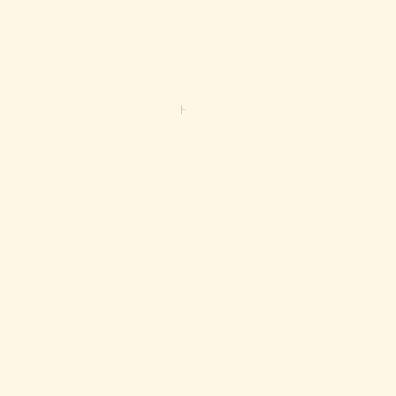 O=C(c1ccccc1)c1c(F)ccc2cc(F)ccc12